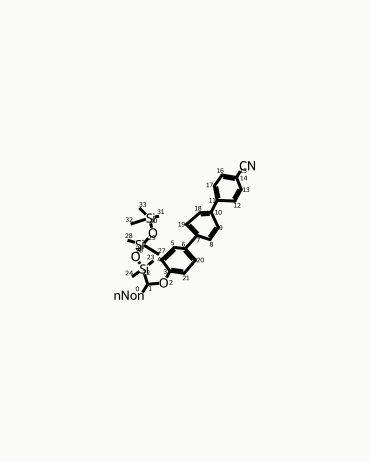 CCCCCCCCCC(Oc1ccc(-c2ccc(-c3ccc(C#N)cc3)cc2)cc1)[Si](C)(C)O[Si](C)(C)O[Si](C)(C)C